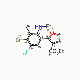 CCNc1c(-c2occc2C(=O)OCC)cc(F)c(Br)c1C